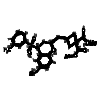 COC(=O)C1(C(=O)OC)CC(CC2CN(S(=O)(=O)c3cccc(C(F)(F)F)c3)c3cc(Br)ccc3O2)C1